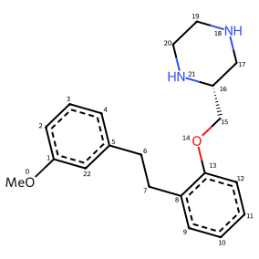 COc1cccc(CCc2ccccc2OC[C@H]2CNCCN2)c1